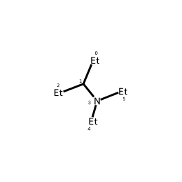 [CH2]CC(CC)N(CC)CC